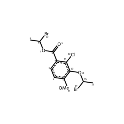 COc1ccc(C(=O)OC(C)Br)c(Cl)c1OC(C)Br